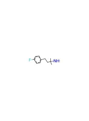 CC(C)([NH])CCc1ccc(F)cc1